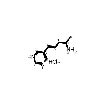 CC(N)C/C=C/c1cncnc1.Cl